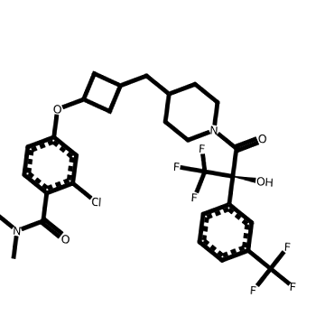 CN(C)C(=O)c1ccc(OC2CC(CC3CCN(C(=O)[C@](O)(c4cccc(C(F)(F)F)c4)C(F)(F)F)CC3)C2)cc1Cl